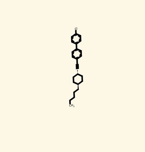 CCCCC[C@H]1CC[C@H](C#Cc2ccc(-c3ccc(Cl)cc3)cc2)CC1